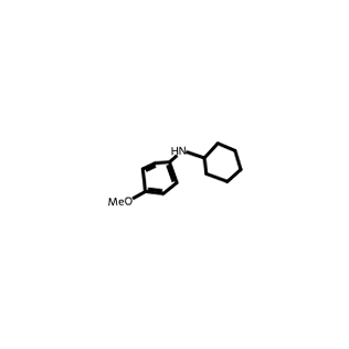 COc1ccc(NC2CCCCC2)cc1